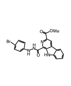 COC(=O)c1cc2c([nH]c3ccccc32)c(C(=O)NNc2ccc(Br)cc2)n1